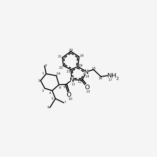 CC1CCC(C(C)C)C(C(=O)n2c(=O)n(CCN)c3ccccc32)C1